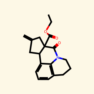 C=C1CC2c3cccc4c3N(CCC4)C(=O)C2(C(=O)OCC)C1